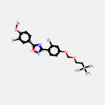 CCc1cc(OCOCC[Si](C)(C)C)ccc1-c1noc(-c2ccc(OC(C)C)c(Cl)c2)n1